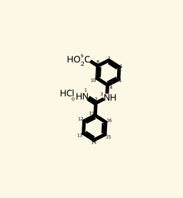 Cl.N=C(Nc1cccc(C(=O)O)c1)c1ccccc1